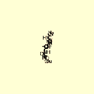 Cc1cc(-c2ncnc(Nc3cnn(C)c3)n2)c(F)cc1CNC(=O)c1coc(C(C)(C)C)n1